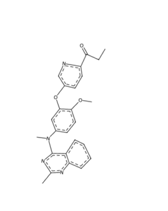 CCC(=O)c1ccc(Oc2cc(N(C)c3nc(C)nc4ccccc34)ccc2OC)cn1